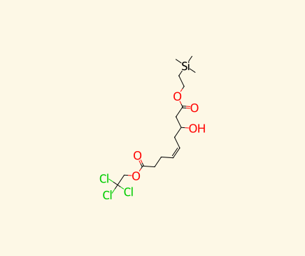 C[Si](C)(C)CCOC(=O)CC(O)C/C=C\CCC(=O)OCC(Cl)(Cl)Cl